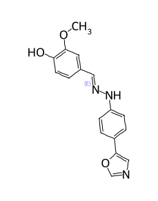 COc1cc(/C=N/Nc2ccc(-c3cnco3)cc2)ccc1O